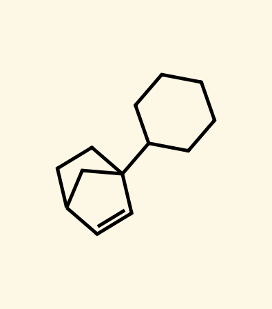 C1=CC2(C3CCCCC3)CCC1C2